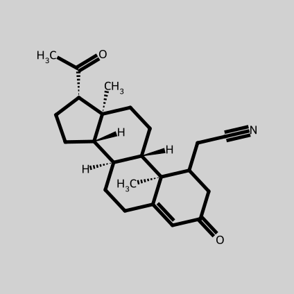 CC(=O)[C@H]1CC[C@H]2[C@@H]3CCC4=CC(=O)CC(CC#N)[C@]4(C)[C@H]3CC[C@]12C